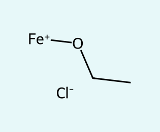 CC[O][Fe+].[Cl-]